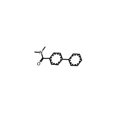 CN(C)C(=O)c1ccc(-c2ccccc2)cc1